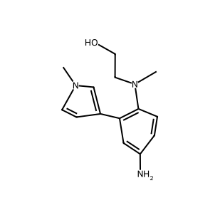 CN(CCO)c1ccc(N)cc1-c1ccn(C)c1